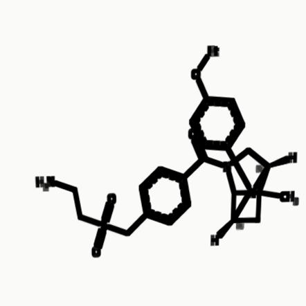 CCOc1ccc(N2C[C@@H]3CC4(C)C3N(C(=O)c3ccc(CS(=O)(=O)CCN)cc3)C[C@@H]24)cc1